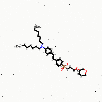 CCCCCCCCCCCCCCCCN(CCCCCCCCCCCCCCCC)c1ccc(C=Cc2ccc(S(=O)(=O)CCCOC3CCCOC3)cc2)cc1